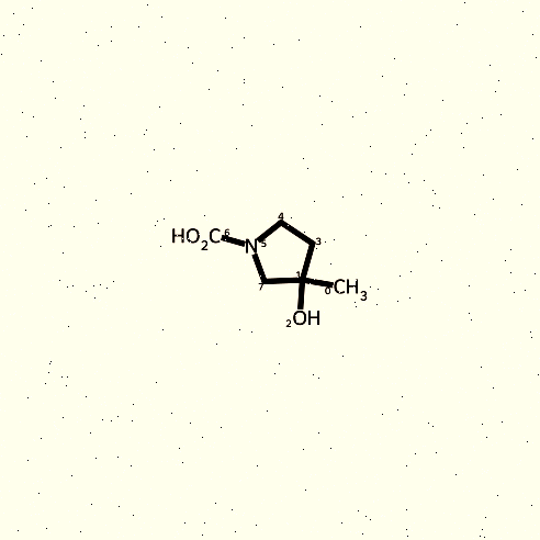 CC1(O)CCN(C(=O)O)C1